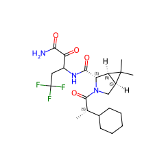 C[C@H](C(=O)N1C[C@H]2[C@@H]([C@H]1C(=O)NC(CC(F)(F)F)C(=O)C(N)=O)C2(C)C)C1CCCCC1